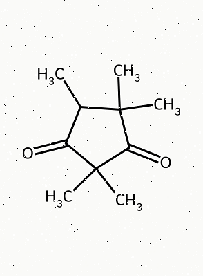 CC1C(=O)C(C)(C)C(=O)C1(C)C